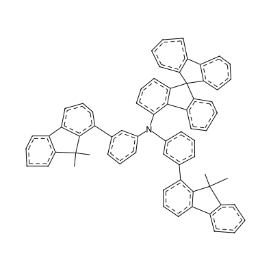 CC1(C)c2ccccc2-c2cccc(-c3cccc(N(c4cccc(-c5cccc6c5C(C)(C)c5ccccc5-6)c4)c4cccc5c4-c4ccccc4C54c5ccccc5-c5ccccc54)c3)c21